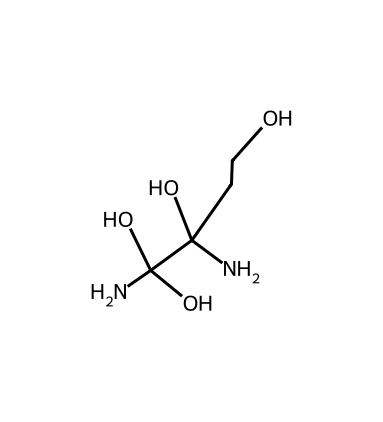 NC(O)(O)C(N)(O)CCO